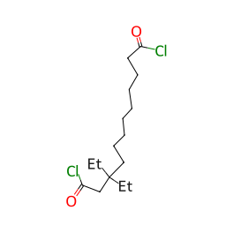 CCC(CC)(CCCCCCCCC(=O)Cl)CC(=O)Cl